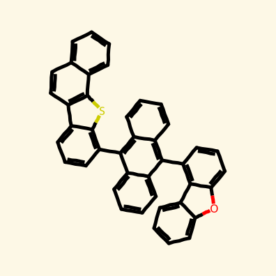 c1ccc2c(c1)ccc1c3cccc(-c4c5ccccc5c(-c5cccc6oc7ccccc7c56)c5ccccc45)c3sc21